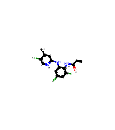 [2H]c1cc(Nc2cc(F)cc(F)c2NC(=O)C=C)ncc1F